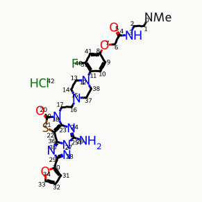 CNCCNC(=O)COc1ccc(N2CCN(CCn3c(=O)sc4c3nc(N)n3nc(-c5ccco5)nc43)CC2)c(F)c1.Cl